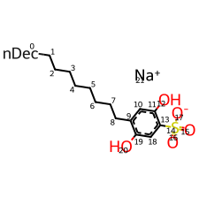 CCCCCCCCCCCCCCCCCCc1cc(O)c(S(=O)(=O)[O-])cc1O.[Na+]